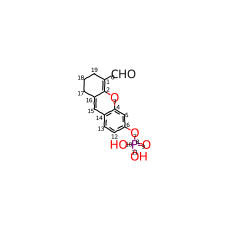 O=CC1=C2Oc3cc(OP(=O)(O)O)ccc3C=C2CCC1